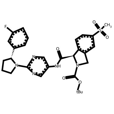 CC(C)(C)OC(=O)N1Cc2cc(S(C)(=O)=O)ccc2[C@@H]1C(=O)Nc1cnc(N2CCC[C@@H]2c2cccc(F)c2)nc1